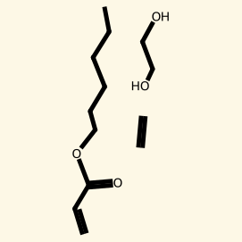 C=C.C=CC(=O)OCCCCCC.OCCO